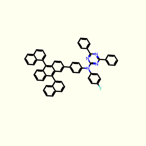 Fc1ccc(N(c2ccc(-c3ccc4c(-c5cccc6ccccc56)c5ccccc5c(-c5cccc6ccccc56)c4c3)cc2)c2nc(-c3ccccc3)nc(-c3ccccc3)n2)cc1